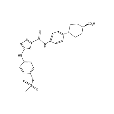 CS(=O)(=O)Oc1ccc(Nc2nnc(C(=O)Nc3ccc([C@H]4CC[C@H](C(=O)O)CC4)cc3)o2)cc1